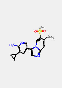 COc1cc2ncc(-c3cnc(N)c(C4CC4)c3)n2cc1S(=O)(=O)C(C)(C)C